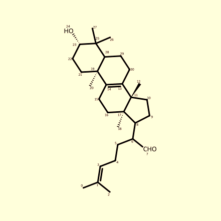 CC(C)=CCCC(C=O)C1CC[C@@]2(C)C3=C(CC[C@]12C)[C@@]1(C)CC[C@H](O)C(C)(C)C1CC3